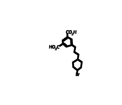 O=C(O)c1cc(CCCC2CCC(Br)CC2)cc(C(=O)O)c1